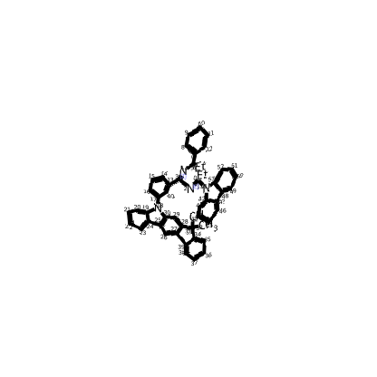 CC/C(=N\C(=N/C(CC)c1ccccc1)c1cccc(-n2c3ccccc3c3cc4c(cc32)C(C)(C)c2ccccc2-4)c1)n1c2ccccc2c2ccccc21